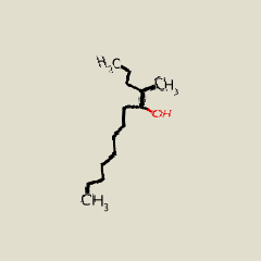 CCCCCCCCC(O)C(C)CCC